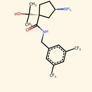 CC(C)(O)[C@]1(C(=O)NCc2cc(C(F)(F)F)cc(C(F)(F)F)c2)CC[C@@H](N)C1